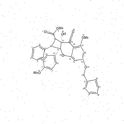 COC(=O)C1C(c2ccccc2)[C@]2(c3ccc(OC)cc3)Oc3cc(OCc4ccccc4)cc(OC)c3C(=O)[C@]12O